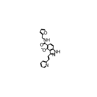 COc1c(C(=O)NCc2ccco2)ccc2[nH]nc(/C=C/c3ccccn3)c12